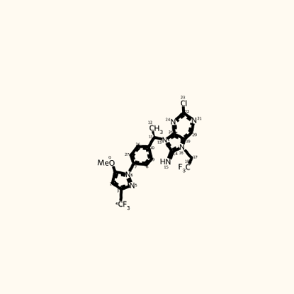 COc1cc(C(F)(F)F)nn1-c1ccc([C@@H](C)n2c(=N)n(CC(F)(F)F)c3cnc(Cl)nc32)cc1